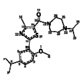 COc1ccc(C(C)C)cc1-c1nc(C)c(C(=O)N2CCN(C(C)C)CC2)s1